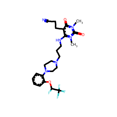 Cn1c(NCCCN2CCN(c3ccccc3OC(F)C(F)(F)F)CC2)c(CCC#N)c(=O)n(C)c1=O